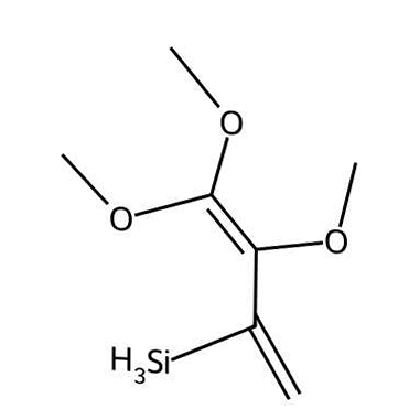 C=C([SiH3])C(OC)=C(OC)OC